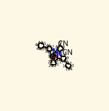 N#Cc1cc(C#N)c(-n2c3ccc(-c4ccccc4)cc3c3c4ccccc4ccc32)c(-n2c3ccccc3c3cc(-c4ccccc4)ccc32)c1